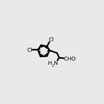 NC([C]=O)Cc1ccc(Cl)cc1Cl